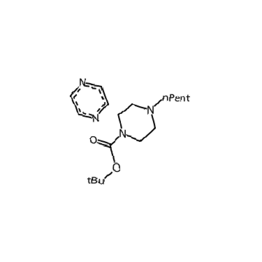 CCCCCN1CCN(C(=O)OC(C)(C)C)CC1.c1cnccn1